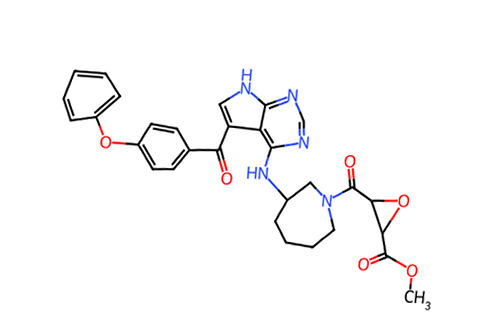 COC(=O)C1OC1C(=O)N1CCCCC(Nc2ncnc3[nH]cc(C(=O)c4ccc(Oc5ccccc5)cc4)c23)C1